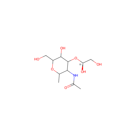 CC(=O)NC1C(C)OC(CO)C(O)C1O[C@H](O)CO